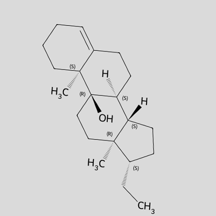 CC[C@H]1CC[C@H]2[C@@H]3CCC4=CCCC[C@]4(C)[C@@]3(O)CC[C@]12C